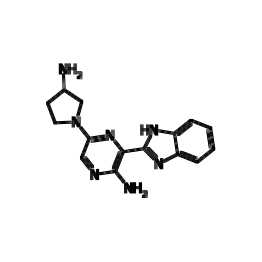 Nc1ncc(N2CCC(N)C2)nc1-c1nc2ccccc2[nH]1